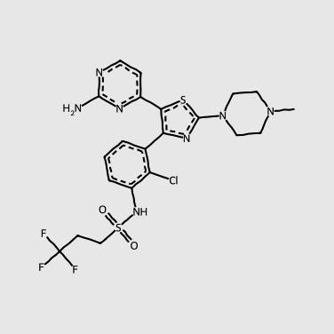 CN1CCN(c2nc(-c3cccc(NS(=O)(=O)CCC(F)(F)F)c3Cl)c(-c3ccnc(N)n3)s2)CC1